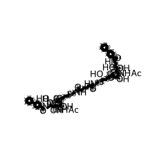 CC(=O)N[C@H]1[C@H]([C@H](O)[C@H](O)CNC(=O)c2ccc(-c3ccccc3)cc2)O[C@@](OCCCSCCNC(=O)CCCCC(=O)NCCSCCCO[C@]2(C(=O)O)C[C@H](O)[C@@H](NC(C)=O)[C@H]([C@H](O)[C@H](O)CNC(=O)c3ccc(-c4ccccc4)cc3)O2)(C(=O)O)C[C@@H]1O